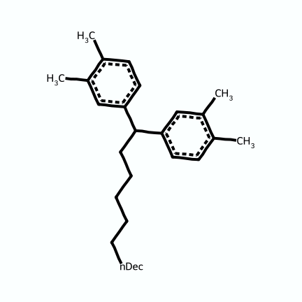 CCCCCCCCCCCCCCCC(c1ccc(C)c(C)c1)c1ccc(C)c(C)c1